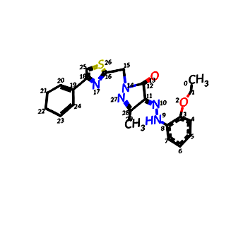 CCOc1ccccc1N/N=C1/C(=O)N(Cc2nc(C3=CCCC=C3)cs2)N=C1C